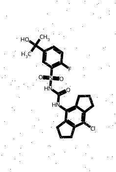 CC(C)(O)c1ccc(F)c(S(=O)(=O)NC(=O)Nc2c3c(c(Cl)c4c2CCC4)CCC3)c1